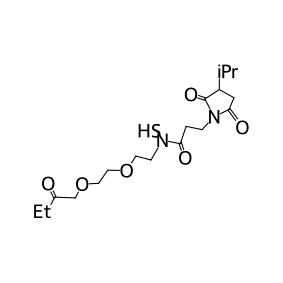 CCC(=O)COCCOCCN(S)C(=O)CCN1C(=O)CC(C(C)C)C1=O